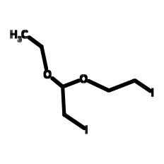 CCOC(CI)OCCI